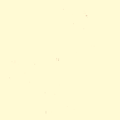 C=C(C)C(=O)OCCN(CCOC(=O)C(=C)C)c1ccc2c(c1)Oc1ccc3ccccc3c1C21OC(=O)c2ccccc21